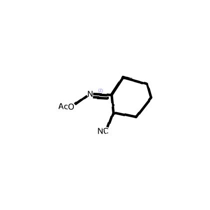 CC(=O)O/N=C1/CCCCC1C#N